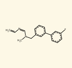 C=C/N=C\N(C)Cc1cccc(-c2cccc(F)c2)c1